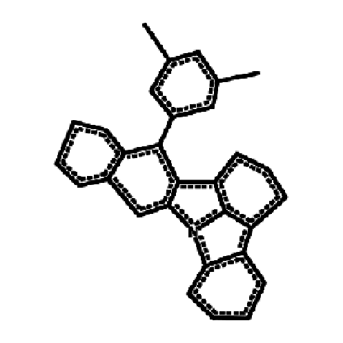 Cc1cc(C)cc(-c2c3ccccc3cc3c2c2cccc4c5ccccc5n3c42)c1